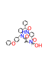 C[C@@H]1CN([C@@H](C)CO)C(=O)c2cccc(NC(=O)C(c3ccccc3)c3ccccc3)c2O[C@@H]1CN(C)Cc1ccc(Oc2ccccc2)cc1